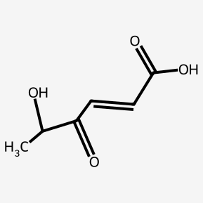 CC(O)C(=O)C=CC(=O)O